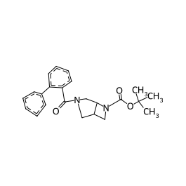 CC(C)(C)OC(=O)N1CC2CN(C(=O)c3ccccc3-c3ccccc3)CC21